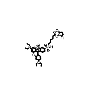 CCN(CC)c1ccc2c(-c3ccc(S(=O)(=O)NCCCCCC(=O)ON4C(=O)CCC4=O)cc3S(=O)(=O)[O-])c3ccc(=[N+](CC)CC)cc-3oc2c1